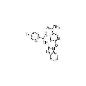 CC(Nc1nc(On2nnc3ccccc32)ncc1C(N)=O)c1ccc(F)cn1